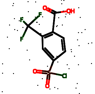 O=C(O)c1ccc(S(=O)(=O)Cl)cc1C(F)(F)F